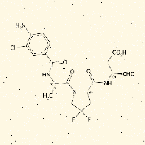 C[C@H](NC(=O)c1ccc(N)c(Cl)c1)C(=O)N1CC(F)(F)C[C@H]1C(=O)N[C@H](C=O)CC(=O)O